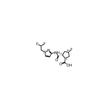 O=C(Nc1ccn(CC(F)F)n1)[C@@H]1C[C@@H](F)CN1C(=O)O